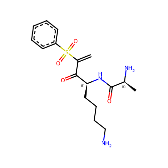 C=C(C(=O)[C@H](CCCCN)NC(=O)[C@H](C)N)S(=O)(=O)c1ccccc1